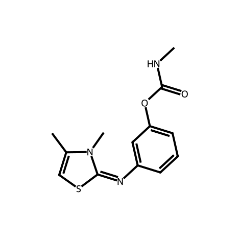 CNC(=O)Oc1cccc(N=c2scc(C)n2C)c1